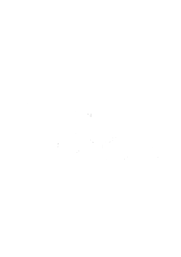 Cc1cccc(OP(N[PH](N=[PH](Oc2cccc(C)c2)Oc2cccc(C)c2)(Oc2cccc(C)c2)Oc2cccc(C)c2)Oc2cccc(C)c2)c1